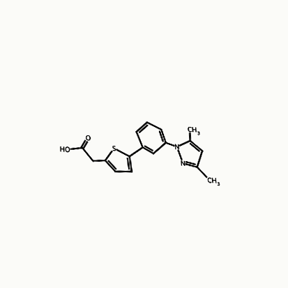 Cc1cc(C)n(-c2cccc(-c3ccc(CC(=O)O)s3)c2)n1